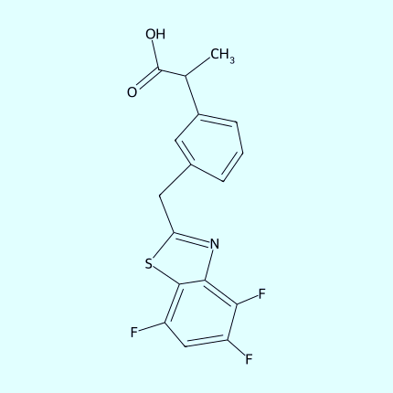 CC(C(=O)O)c1cccc(Cc2nc3c(F)c(F)cc(F)c3s2)c1